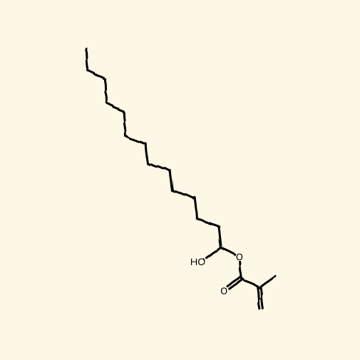 C=C(C)C(=O)OC(O)CCCCCCCCCCCCC